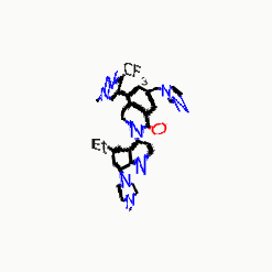 CCc1cc(N2CCN(C)CC2)c2nccc(N3CCc4c(cc(Cn5ccnc5)cc4-c4cn(C)nc4C(F)(F)F)C3=O)c2c1